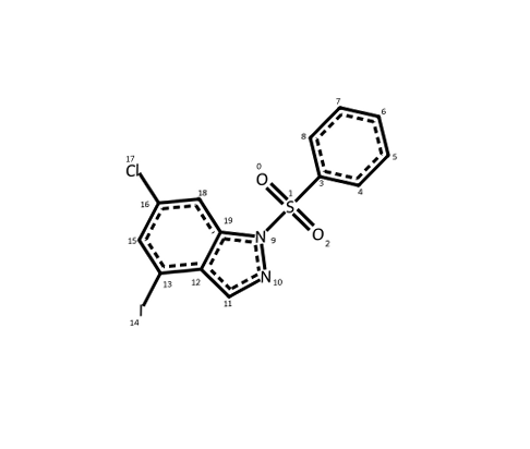 O=S(=O)(c1ccccc1)n1ncc2c(I)cc(Cl)cc21